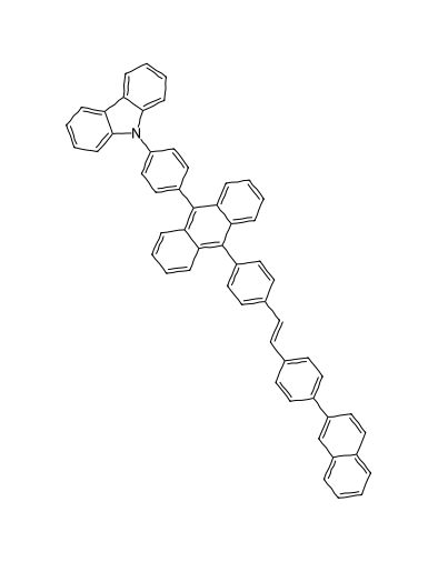 C(=C\c1ccc(-c2c3ccccc3c(-c3ccc(-n4c5ccccc5c5ccccc54)cc3)c3ccccc23)cc1)/c1ccc(-c2ccc3ccccc3c2)cc1